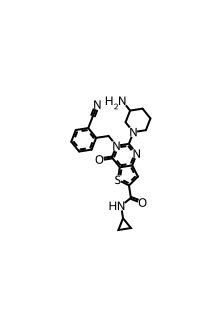 N#Cc1ccccc1Cn1c(N2CCCC(N)C2)nc2cc(C(=O)NC3CC3)sc2c1=O